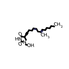 C=CCCCC/C=C(\C)C/C=C\CCC#CC1CN(CO)C(=O)NC1=O